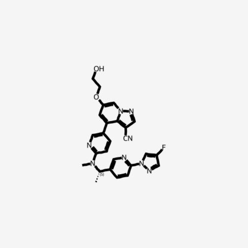 C[C@@H](c1ccc(-n2cc(F)cn2)nc1)N(C)c1ccc(-c2cc(OCCO)cn3ncc(C#N)c23)cn1